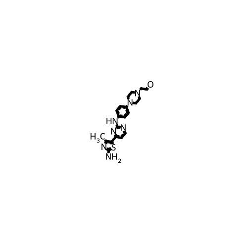 Cc1nc(N)sc1-c1ccnc(Nc2ccc(N3CCN(CC=O)CC3)cc2)n1